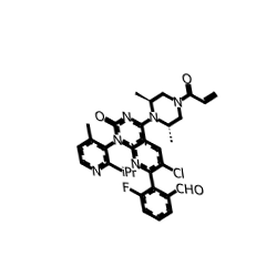 C=CC(=O)N1C[C@H](C)N(c2nc(=O)n(-c3c(C)ccnc3C(C)C)c3nc(-c4c(F)cccc4C=O)c(Cl)cc23)[C@@H](C)C1